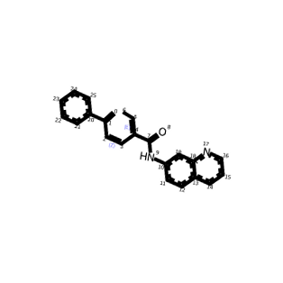 C=C(/C=C\C(=C/C)C(=O)Nc1ccc2cccnc2c1)c1ccccc1